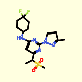 Cc1ccn(-c2nc(NC3CCC(F)(F)CC3)cc(C(C)S(C)(=O)=O)n2)n1